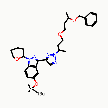 CC(CCOCCC(C)n1ncc(-c2nn(C3CCCCO3)c3ccc(O[Si](C)(C)C(C)(C)C)cc23)n1)OCc1ccccc1